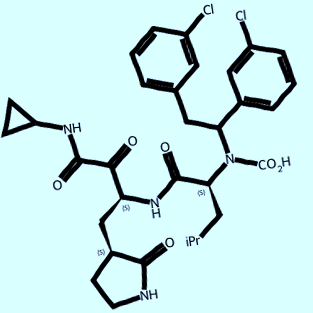 CC(C)C[C@@H](C(=O)N[C@@H](C[C@@H]1CCNC1=O)C(=O)C(=O)NC1CC1)N(C(=O)O)C(Cc1cccc(Cl)c1)c1cccc(Cl)c1